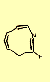 [2H]C1=NC=CC=CC1